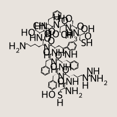 CC(O)[C@H](NC(=O)[C@H](CCCCN)NC(=O)[C@@H](Cc1c[nH]c2ccccc12)NC(=O)[C@H](Cc1ccccc1)NC(=O)[C@H](Cc1ccccc1)NC(=O)[C@@H](Cc1ccc(O)cc1)NC(=O)[C@H](CCCNC(=N)N)NC(=O)[C@@H](N)CS)C(=O)N[C@@H](Cc1ccccc1)C(=O)N[C@H](C(=O)N[C@@H](CO)C(=O)N[C@H](CS)C(=O)O)C(C)O